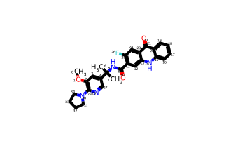 COc1cc(C(C)(C)NC(=O)c2cc3[nH]c4ccccc4c(=O)c3cc2F)cnc1N1CCCC1